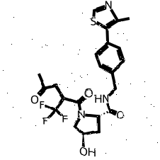 CC(=O)CC(C(=O)N1C[C@H](O)C[C@H]1C(=O)NCc1ccc(-c2scnc2C)cc1)C(F)(F)F